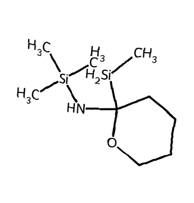 C[SiH2]C1(N[Si](C)(C)C)CCCCO1